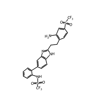 Nc1cc(S(=O)(=O)C(F)(F)F)ccc1CCc1nc2cc(-c3ccccc3NS(=O)(=O)C(F)(F)F)ccc2[nH]1